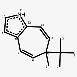 CC(C)(C)C1(C)C=Cc2cc[nH]c2C=C1